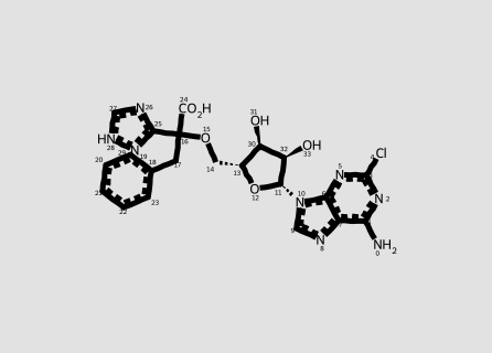 Nc1nc(Cl)nc2c1ncn2[C@@H]1O[C@H](COC(Cc2ccccc2)(C(=O)O)c2nc[nH]n2)[C@@H](O)[C@H]1O